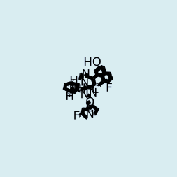 C#Cc1c(F)ccc2cc(O)cc(-c3cc4nc(OC[C@@]56CCCN5C[C@H](F)C6)nc(N5C[C@H]6CC[C@@H](C5)N6)c4n4ccnc34)c12